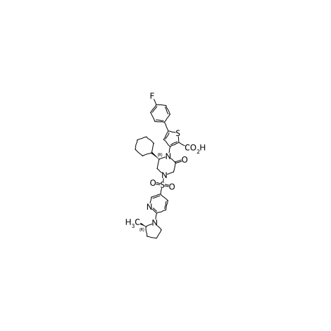 C[C@@H]1CCCN1c1ccc(S(=O)(=O)N2CC(=O)N(c3cc(-c4ccc(F)cc4)sc3C(=O)O)[C@H](C3CCCCC3)C2)cn1